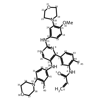 C=CC(=O)Nc1cc(-c2nc(Nc3ccc(OC)c(N4CCOCC4)c3)ncc2Nc2ccc(N3CCOCC3)c(F)c2)ccc1F